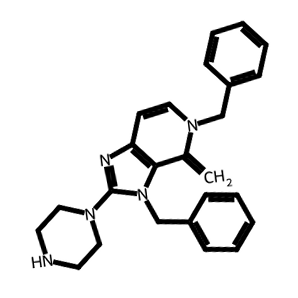 C=C1c2c(nc(N3CCNCC3)n2Cc2ccccc2)C=CN1Cc1ccccc1